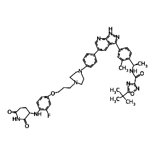 Cc1cc(-c2n[nH]c3ncc(-c4ccc(N5CCN(CCCOc6ccc(NC7CCC(=O)NC7=O)c(F)c6)CC5)cc4)cc23)ccc1[C@@H](C)NC(=O)c1noc(C(C)(C)C)n1